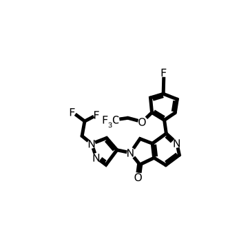 O=C1c2ccnc(-c3ccc(F)cc3OCC(F)(F)F)c2CN1c1cnn(CC(F)F)c1